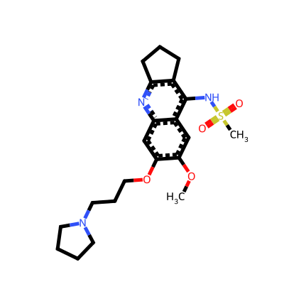 COc1cc2c(NS(C)(=O)=O)c3c(nc2cc1OCCCN1CCCC1)CCC3